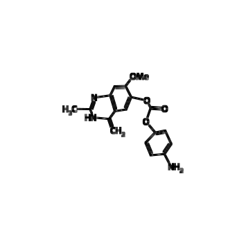 C=C1NC(C)=Nc2cc(OC)c(OC(=O)Oc3ccc(N)cc3)cc21